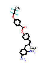 CC(F)(F)C(F)(F)Oc1ccc(C(=O)Oc2ccc(/C=C(\Cc3ccc(N)cc3N)C(=O)O)cc2)cc1